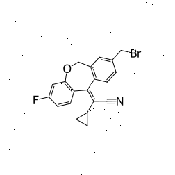 N#CC(=C1c2ccc(CBr)cc2COc2cc(F)ccc21)C1CC1